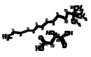 CCCCCCCCCCCC[N+](C)(C)C.O=C(O)CC(O)C(=O)O